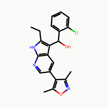 CCc1[nH]c2ncc(-c3c(C)noc3C)cc2c1C(O)c1ccccc1Cl